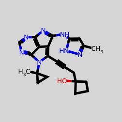 Cc1cc(NC2=Nc3ncnc4c3c2c(C#CCC2(O)CCC2)n4C2(C)CC2)[nH]n1